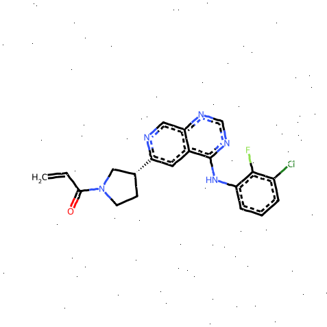 C=CC(=O)N1CC[C@@H](c2cc3c(Nc4cccc(Cl)c4F)ncnc3cn2)C1